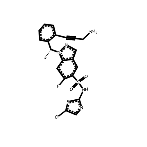 C[C@H](c1ccccc1C#CCN)n1ncc2cc(S(=O)(=O)Nc3ncc(Cl)s3)c(F)cc21